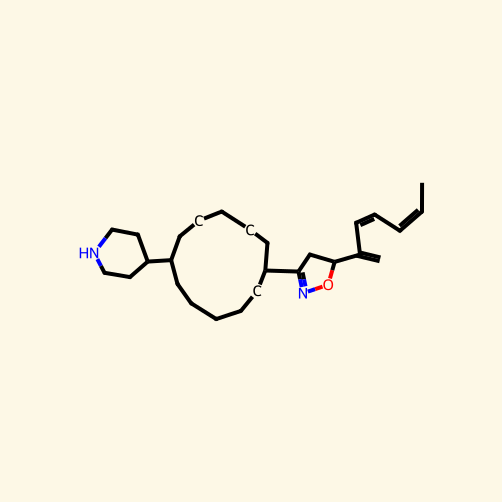 C=C(/C=C\C=C/C)C1CC(C2CCCCCC(C3CCNCC3)CCCCC2)=NO1